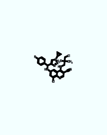 CC(C)(CCl)CNc1c(C#N)cnc2c(Cl)cc(NC(c3ccc(F)cc3)c3cn(C4CC4)nn3)cc12